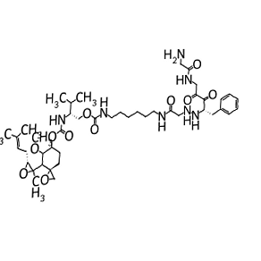 COC1C(OC(=O)N[C@@H](COC(=O)NCCCCCCNC(=O)CNN[C@@H](Cc2ccccc2)C(=O)C(=O)CNC(=O)CN)C(C)C)CC[C@]2(CO2)C1C1(C)O[C@@H]1CC=C(C)C